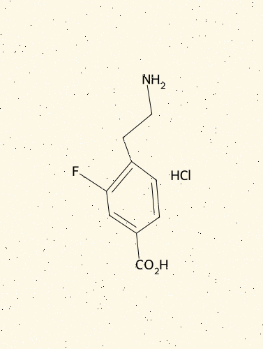 Cl.NCCc1ccc(C(=O)O)cc1F